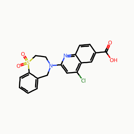 O=C(O)c1ccc2nc(N3CCS(=O)(=O)c4ccccc4C3)cc(Cl)c2c1